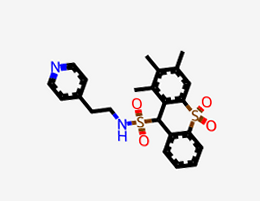 Cc1cc2c(c(C)c1C)C(S(=O)(=O)NCCc1ccncc1)c1ccccc1S2(=O)=O